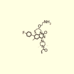 C=CC(=O)N1[C@H](C)CN(c2nc(=O)n3c4c(c(-c5ccc(F)cc5)c(C)cc24)SCC(OCCN)C3)C[C@@H]1C